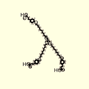 O=C(O)C=Cc1ccc(OCCCCCCCCCCOCC(COCCCCCCCCCCOc2ccc(C=CC(=O)O)cc2)OCCCCCCCCCCOc2ccc(C=CC(=O)O)cc2)cc1